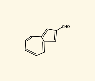 O=Cc1cc2cccccc-2c1